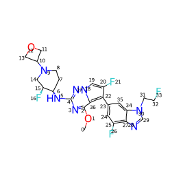 COc1nc(N[C@@H]2CCN(C3COC3)C[C@@H]2F)nn2cc(F)c(-c3cc(F)c4ncn(CCF)c4c3)c12